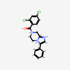 O=C(c1ccc(Cl)cc1Cl)N1CCn2c(-c3ccccc3)cnc2C1